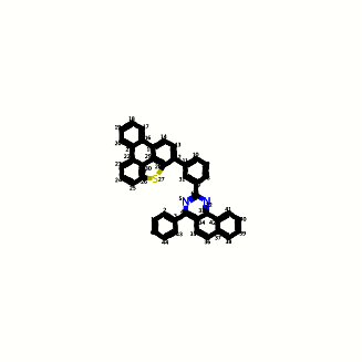 c1ccc(-c2nc(-c3cccc(-c4ccc5c6ccccc6c6cccc7sc4c5c76)c3)nc3c2ccc2ccccc23)cc1